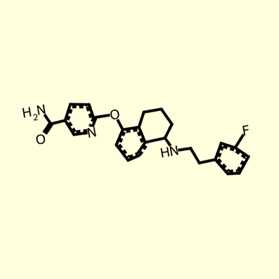 NC(=O)c1ccc(Oc2cccc3c2CCCC3NCCc2cccc(F)c2)nc1